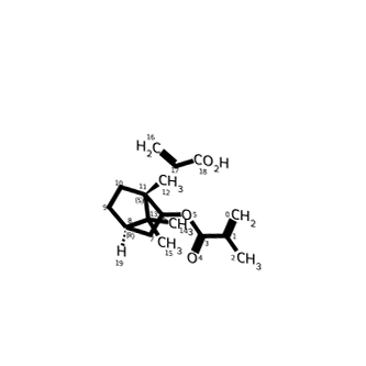 C=C(C)C(=O)OC1C[C@H]2CC[C@@]1(C)C2(C)C.C=CC(=O)O